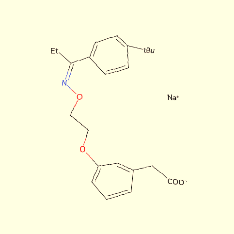 CCC(=NOCCOc1cccc(CC(=O)[O-])c1)c1ccc(C(C)(C)C)cc1.[Na+]